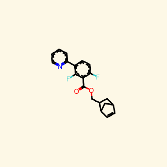 O=C(OCC1CC2C=CC1C2)c1c(F)ccc(-c2ccccn2)c1F